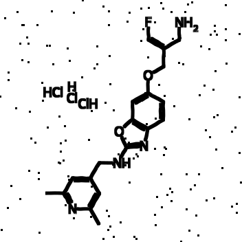 Cc1cc(CNc2nc3ccc(OCC(=CF)CN)cc3o2)cc(C)n1.Cl.Cl.Cl